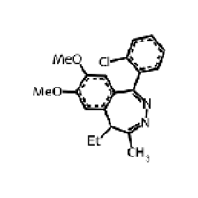 CCC1C(C)=NN=C(c2ccccc2Cl)c2cc(OC)c(OC)cc21